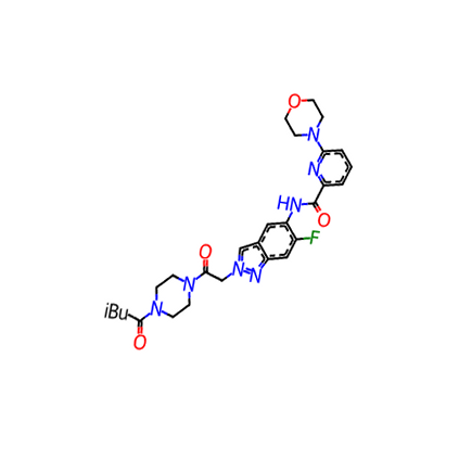 CCC(C)C(=O)N1CCN(C(=O)Cn2cc3cc(NC(=O)c4cccc(N5CCOCC5)n4)c(F)cc3n2)CC1